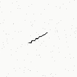 CCCCCCCCCC=CCC=CCCCCCC(=O)O